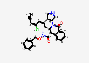 C#C/C=C(Cl)\C=C/C[C@@H]1[C@@H](C(=O)NOCc2ccccc2)c2ccccc2C(=O)N1[C@H]1CCNC1